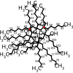 CCCCCCCCC(CCCCCCCC)([O][Ti]([O]C(CCCCCCCC)(CCCCCCCC)C(O)CCCCCC)([O]C(CCCCCCCC)(CCCCCCCC)C(O)CCCCCC)[O]C(CCCCCCCC)(CCCCCCCC)C(O)CCCCCC)C(O)CCCCCC